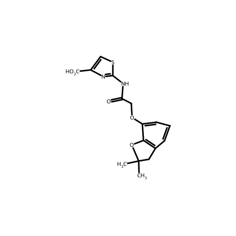 CC1(C)Cc2cccc(OCC(=O)Nc3nc(C(=O)O)cs3)c2O1